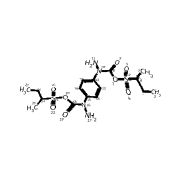 CCC(C)S(=O)(=O)OC(=O)N(N)c1ccc(N(N)C(=O)OS(=O)(=O)C(C)CC)cc1